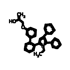 C=C(O)COc1cccc(-c2ccccc2-c2cc(-c3ccccc3)c(-c3ccccc3)n2CC)c1